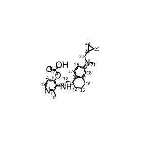 Cc1nccc(OC(=O)O)c1NC[C@@H]1CCCc2cc(N(C)CC3CC3)ccc21